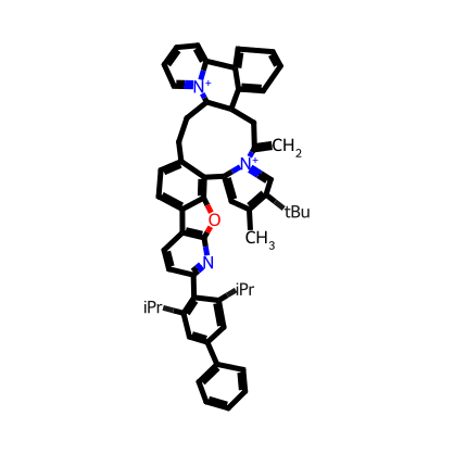 C=C1CC2c3ccccc3-c3cccc[n+]3C2CCc2ccc3c(oc4nc(-c5c(C(C)C)cc(-c6ccccc6)cc5C(C)C)ccc43)c2-c2cc(C)c(C(C)(C)C)c[n+]21